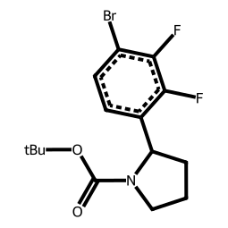 CC(C)(C)OC(=O)N1CCCC1c1ccc(Br)c(F)c1F